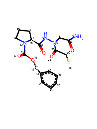 NC(=O)CN(NC(=O)[C@@H]1CCCN1C(=O)OCc1ccccc1)C(=O)CF